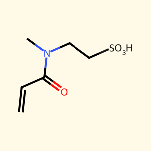 C=CC(=O)N(C)CCS(=O)(=O)O